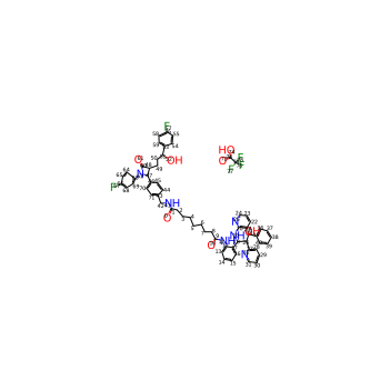 O=C(CCCCCCCC(=O)Nc1ccccc1C(Nc1ccccn1)C(c1ccccn1)C(O)c1ccccc1)NCc1ccc(C2C(CCC(O)c3ccc(F)cc3)C(=O)N2c2ccc(F)cc2)cc1.O=C(O)C(F)(F)F